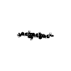 C/C=C/C(=O)N1CCC(Oc2ccc(/C=C/C(=O)N3CCC(Oc4ccc(/C=C/C(=O)N5CCC(Oc6cccc(-c7csnc7C)c6)CC5)c(-c5ccccc5S(C)(=O)=O)c4)CC3)c(-c3ccccc3)c2)CC1